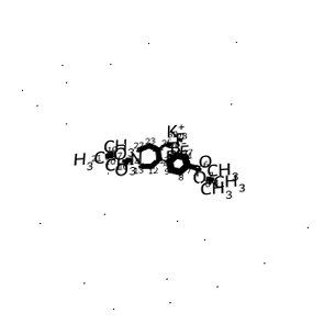 CC(C)(C)OC(=O)c1ccc([C@@H]2CCN(C(=O)OC(C)(C)C)CC[C@H]2C[B-](F)(F)F)cc1.[K+]